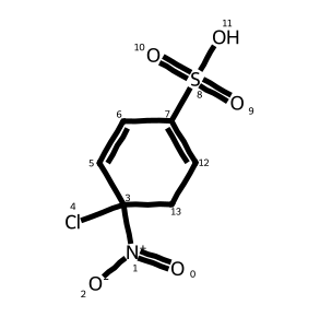 O=[N+]([O-])C1(Cl)C=CC(S(=O)(=O)O)=CC1